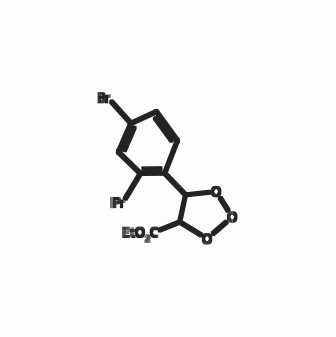 CCOC(=O)C1OOOC1c1ccc(Br)cc1C(C)C